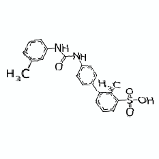 Cc1cccc(NC(=O)Nc2ccc(-c3cccc(S(=O)(=O)O)c3C)cc2)c1